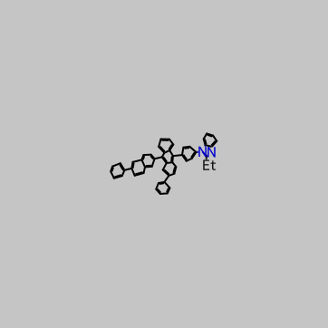 CCc1nc2ccccc2n1-c1ccc(-c2c3ccccc3c(-c3ccc4cc(-c5ccccc5)ccc4c3)c3cc(-c4ccccc4)ccc23)cc1